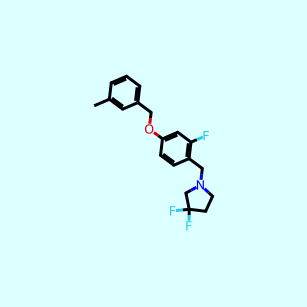 Cc1cccc(COc2ccc(CN3CCC(F)(F)C3)c(F)c2)c1